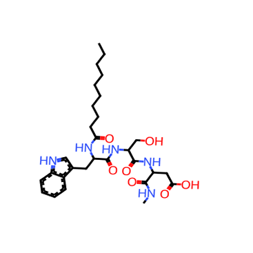 CCCCCCCCCC(=O)NC(Cc1c[nH]c2ccccc12)C(=O)NC(CO)C(=O)NC(CC(=O)O)C(=O)NC